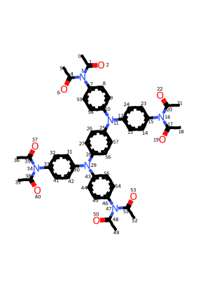 CC(=O)N(C(C)=O)c1ccc(N(c2ccc(N(C(C)=O)C(C)=O)cc2)c2ccc(N(c3ccc(N(C(C)=O)C(C)=O)cc3)c3ccc(N(C(C)=O)C(C)=O)cc3)cc2)cc1